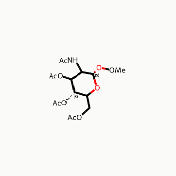 COO[C@@H]1OC(COC(C)=O)[C@H](OC(C)=O)C(OC(C)=O)C1NC(C)=O